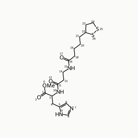 COC(=O)C(Cc1cnc[nH]1)NC(=O)CCNC(=O)CCCCC1CCSS1